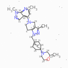 Cc1cc(N2CCc3c(c(C)nn3CC34CCC(N5CCO[C@H](C)C5)(CC3)CC4)C2)c2cnn(C)c2n1